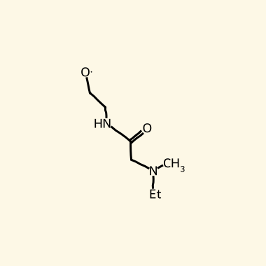 CCN(C)CC(=O)NCC[O]